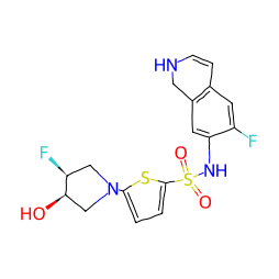 O=S(=O)(Nc1cc2c(cc1F)C=CNC2)c1ccc(N2C[C@@H](O)[C@@H](F)C2)s1